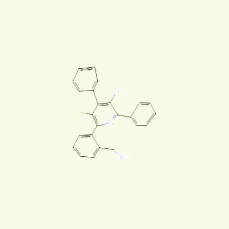 NCc1ccccc1-c1nc(-c2ccccc2)c(N)c(-c2ccccc2)c1F